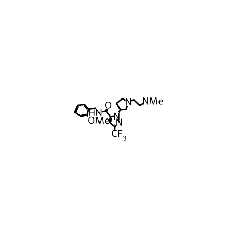 CNCCN1CCC(n2nc(C(F)(F)F)cc2C(=O)NCc2ccccc2OC)C1